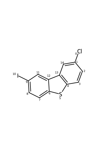 Clc1ccc2sc3ccc(I)cc3c2c1